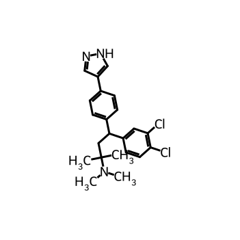 CN(C)C(C)(C)CC(c1ccc(-c2cn[nH]c2)cc1)c1ccc(Cl)c(Cl)c1